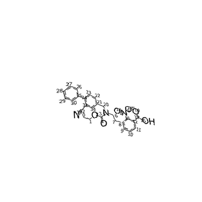 CCOC(=O)N(CCc1cccc(C(=O)O)c1[N+](=O)[O-])Cc1ccc(-c2ccccc2)c(C#N)c1